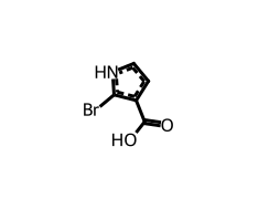 O=C(O)c1cc[nH]c1Br